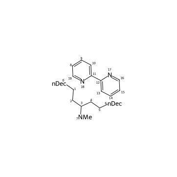 CCCCCCCCCCCCC(CCCCCCCCCCCC)NC.c1ccc(-c2ccccn2)nc1